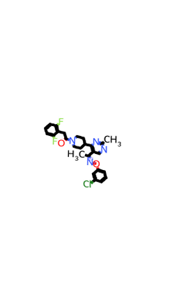 C/C(=N/Oc1cccc(Cl)c1)c1cnc(C)nc1C1CCN(C(=O)Cc2c(F)cccc2F)CC1